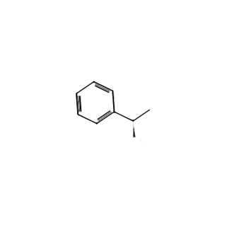 CC(=O)O[C@H](C)c1ccccc1